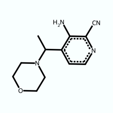 CC(c1ccnc(C#N)c1N)N1CCOCC1